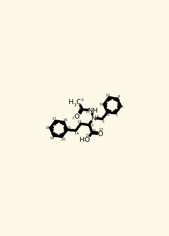 CC(=O)NN(Cc1ccccc1)C(CCc1ccccc1)C(=O)O